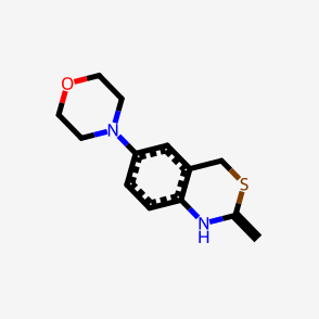 C=C1Nc2ccc(N3CCOCC3)cc2CS1